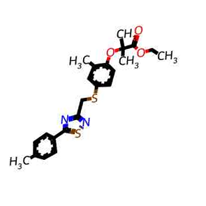 CCOC(=O)C(C)(C)Oc1ccc(SCc2nsc(-c3ccc(C)cc3)n2)cc1C